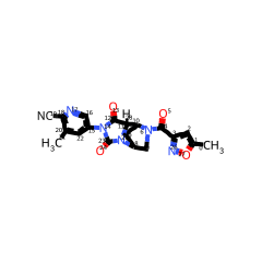 Cc1cc(C(=O)N2CC3CC2[C@H]2C(=O)N(c4cnc(C#N)c(C)c4)C(=O)N32)no1